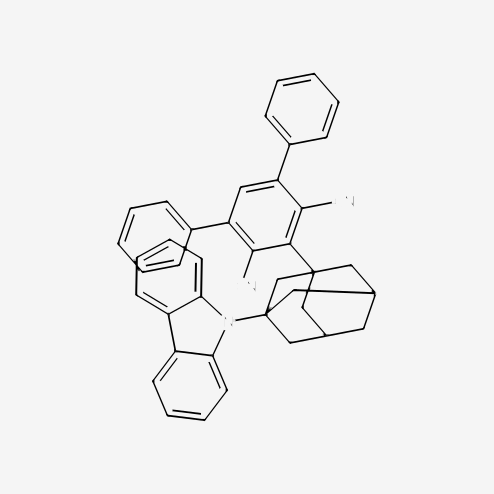 N#Cc1c(-c2ccccc2)cc(-c2ccccc2)c(C#N)c1C12CC3CC(C1)CC(n1c4ccccc4c4ccccc41)(C3)C2